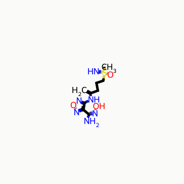 C=C(CCCS(C)(=N)=O)Nc1nonc1/C(N)=N\O